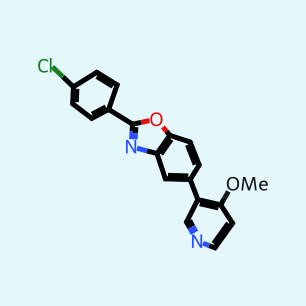 COc1ccncc1-c1ccc2oc(-c3ccc(Cl)cc3)nc2c1